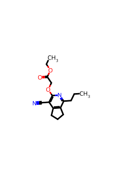 CCCc1nc(OCC(=O)OCC)c(C#N)c2c1CCC2